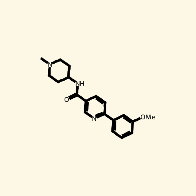 COc1cccc(-c2ccc(C(=O)NC3CCN(C)CC3)cn2)c1